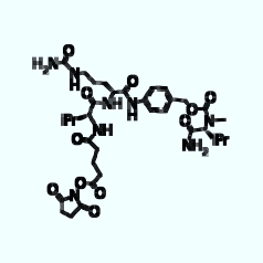 CC(C)[C@H](NC(=O)CCCC(=O)ON1C(=O)CCC1=O)C(=O)N[C@@H](CCCNC(N)=O)C(=O)Nc1ccc(COC(=O)N(C)[C@H](C(N)=O)C(C)C)cc1